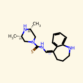 C[C@@H]1CN(C(=S)N/C=C2/CCCNc3ccccc32)C[C@H](C)N1